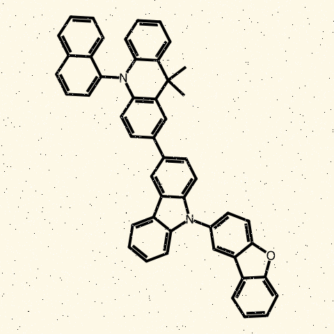 CC1(C)c2ccccc2N(c2cccc3ccccc23)c2ccc(-c3ccc4c(c3)c3ccccc3n4-c3ccc4oc5ccccc5c4c3)cc21